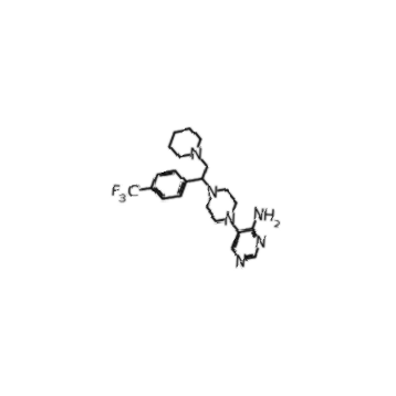 Nc1ncncc1N1CCN(C(CN2CCCCC2)c2ccc(C(F)(F)F)cc2)CC1